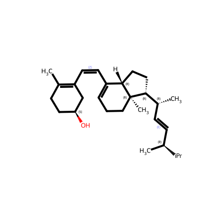 CC1=C(/C=C\C2=CCC[C@]3(C)[C@@H]([C@H](C)/C=C/[C@H](C)C(C)C)CC[C@@H]23)C[C@@H](O)CC1